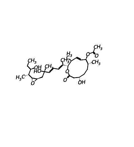 CC[C@@H](O)[C@@H](C)[C@H]1O[C@@H]1C[C@](C)(O)/C=C/C=C(\C)[C@H]1OC(=O)C[C@@H](O)CC[C@@H](C)[C@H](OC(C)=O)/C=C/[C@@H]1C